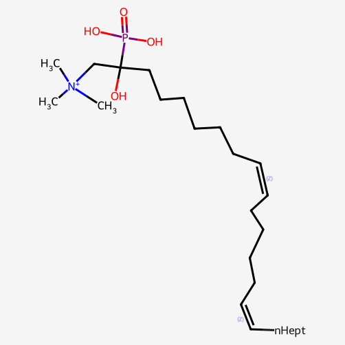 CCCCCCC/C=C\CCCC/C=C\CCCCCCC(O)(C[N+](C)(C)C)P(=O)(O)O